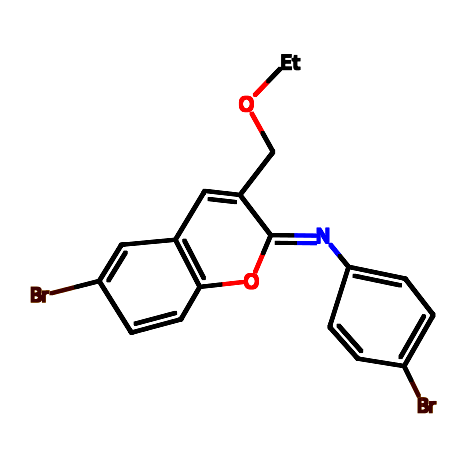 CCOCc1cc2cc(Br)ccc2o/c1=N\c1ccc(Br)cc1